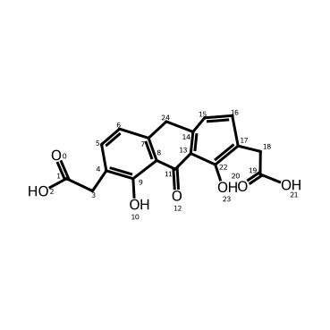 O=C(O)Cc1ccc2c(c1O)C(=O)c1c(ccc(CC(=O)O)c1O)C2